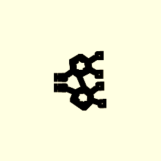 Oc1ccc(Cl)c(Cl)c1-c1c(O)ccc(Cl)c1Cl